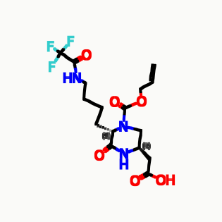 C=CCOC(=O)N1C[C@@H](CC(=O)O)NC(=O)[C@@H]1CCCCNC(=O)C(F)(F)F